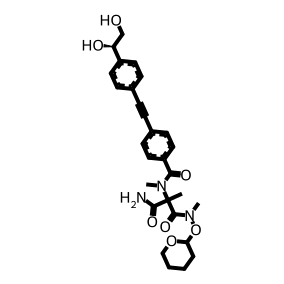 CN(OC1CCCCO1)C(=O)C(C)(C(N)=O)N(C)C(=O)c1ccc(C#Cc2ccc([C@@H](O)CO)cc2)cc1